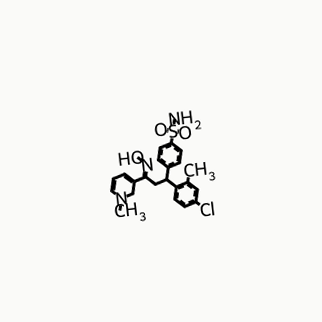 Cc1cc(Cl)ccc1C(CC(=NO)C1=CC=CN(C)C1)c1ccc(S(N)(=O)=O)cc1